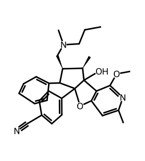 CCCN(C)C[C@@H]1C(c2ccccc2)C2(c3ccc(C#N)cc3)Oc3cc(C)nc(OC)c3C2(O)[C@@H]1C